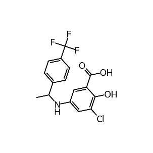 CC(Nc1cc(Cl)c(O)c(C(=O)O)c1)c1ccc(C(F)(F)F)cc1